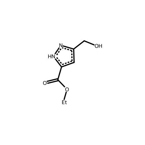 CCOC(=O)c1cc(CO)n[nH]1